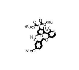 COc1ccc(COc2ccnc(C)c2-c2cc(N(C(=O)OC(C)(C)C)C(=O)OC(C)(C)C)cc(C)n2)cc1